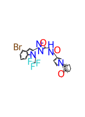 CO[C@@H]1CCC[C@H]1n1ccc(C(=O)NCc2nc(-c3cc4c(Br)cccc4n3CC(F)(F)F)no2)c1